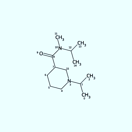 CC(C)N1CCCC(C(=O)N(C)C(C)C)C1